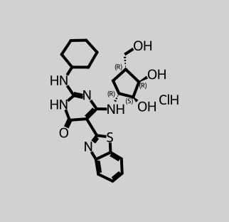 Cl.O=c1[nH]c(NC2CCCCC2)nc(N[C@@H]2C[C@H](CO)[C@@H](O)[C@H]2O)c1-c1nc2ccccc2s1